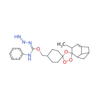 CC1C=C2CC3CC(C23)C12OOC1(CCC(CO/C(=N/N=N)Nc3ccccc3)CC1)O2